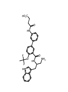 CC(F)(F)Oc1ccc(-c2cccc(NC(=O)CCC(=O)O)c2)cc1C(=O)NC(CN)Cc1c[nH]c2ccccc12